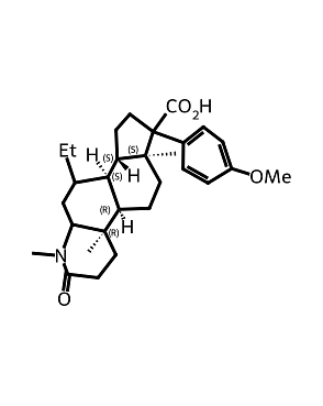 CCC1CC2N(C)C(=O)CC[C@]2(C)[C@@H]2CC[C@@]3(C)[C@@H](CCC3(C(=O)O)c3ccc(OC)cc3)[C@H]12